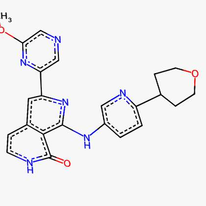 COc1cncc(-c2cc3cc[nH]c(=O)c3c(Nc3ccc(C4CCOCC4)nc3)n2)n1